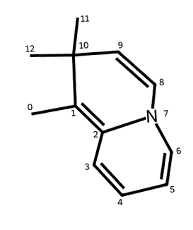 CC1=C2C=CC=CN2C=CC1(C)C